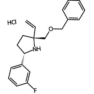 C=C[C@@]1(COCc2ccccc2)CC[C@@H](c2cccc(F)c2)N1.Cl